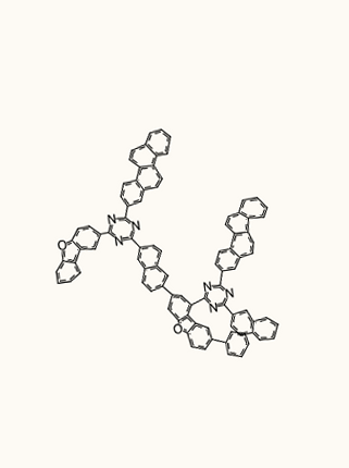 c1ccc(-c2ccc3oc4cc(-c5ccc6cc(-c7nc(-c8ccc9c(ccc%10c%11ccccc%11ccc9%10)c8)nc(-c8ccc9oc%10ccccc%10c9c8)n7)ccc6c5)cc(-c5nc(-c6ccc7ccccc7c6)nc(-c6ccc7c(ccc8c9ccccc9ccc78)c6)n5)c4c3c2)cc1